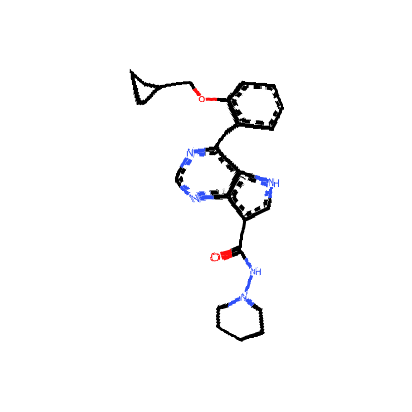 O=C(NN1CCCCC1)c1c[nH]c2c(-c3ccccc3OCC3CC3)ncnc12